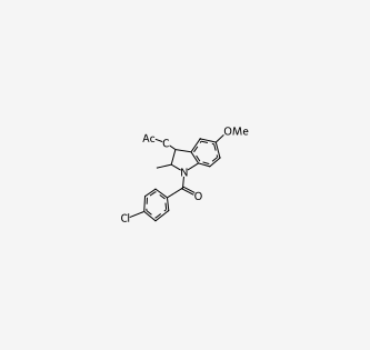 COc1ccc2c(c1)C(CC(C)=O)C(C)N2C(=O)c1ccc(Cl)cc1